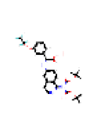 CC(C)(C)OC(=O)N(C(=O)OC(C)(C)C)c1nccc2cc(NC(C(=O)O)c3cccc(OC(F)(F)C(F)F)c3)ccc12